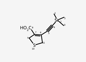 C[Si](C)(C)C#CC1=C(C(=O)O)CSC1